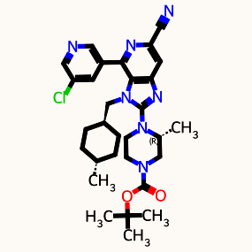 C[C@@H]1CN(C(=O)OC(C)(C)C)CCN1c1nc2cc(C#N)nc(-c3cncc(Cl)c3)c2n1C[C@H]1CC[C@H](C)CC1